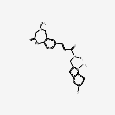 CN1CC(=O)Nc2ncc(C=CC(=O)N(C)Cc3cc4cc(Cl)ccc4n3C)cc2C1